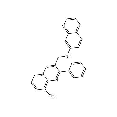 Cc1cccc2cc(CNc3ccc4nccnc4c3)c(-c3ccccc3)nc12